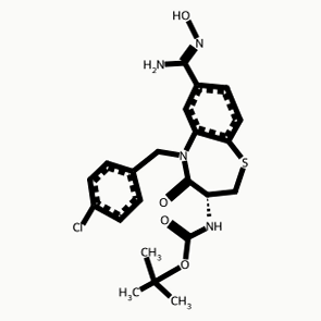 CC(C)(C)OC(=O)N[C@H]1CSc2ccc(/C(N)=N/O)cc2N(Cc2ccc(Cl)cc2)C1=O